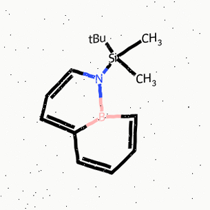 CC(C)(C)[Si](C)(C)N1C=CC=C2C=CC=CB21